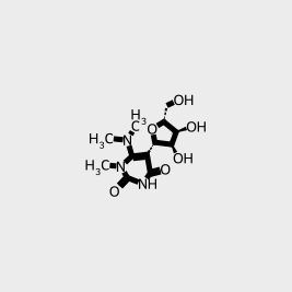 CN(C)c1c([C@@H]2O[C@H](CO)[C@@H](O)[C@H]2O)c(=O)[nH]c(=O)n1C